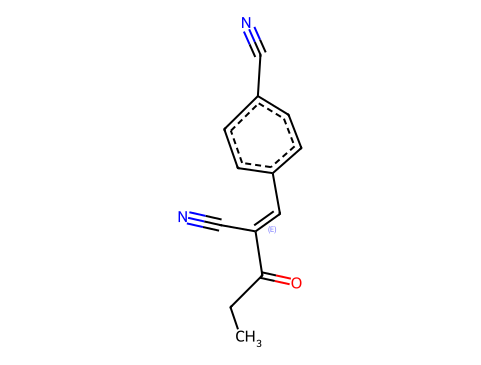 CCC(=O)/C(C#N)=C/c1ccc(C#N)cc1